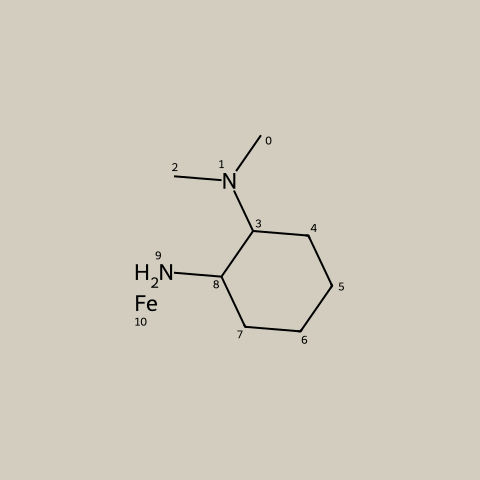 CN(C)C1CCCCC1N.[Fe]